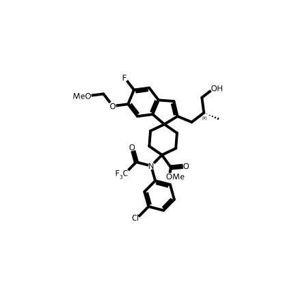 COCOc1cc2c(cc1F)C=C(C[C@@H](C)CO)C21CCC(C(=O)OC)(N(C(=O)C(F)(F)F)c2cccc(Cl)c2)CC1